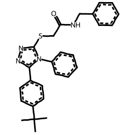 CC(C)(C)c1ccc(-c2nnc(SCC(=O)NCc3ccccc3)n2-c2ccccc2)cc1